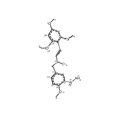 COc1cc(OC)c(C=C[S+]([O-])Cc2ccc(OC)c(NN)c2)c(OC)c1